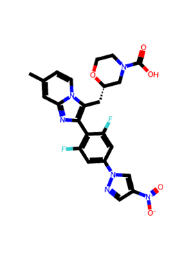 Cc1ccn2c(C[C@H]3CN(C(=O)O)CCO3)c(-c3c(F)cc(-n4cc([N+](=O)[O-])cn4)cc3F)nc2c1